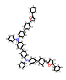 c1ccc(-c2ccc(-c3ccc(-c4ccc(N(c5ccccc5)c5ccc(-c6ccc(N(c7ccccc7)c7ccc(-c8ccc(-c9ccc(-c%10ccccc%10)o9)cc8)cc7)cc6)cc5)cc4)cc3)o2)cc1